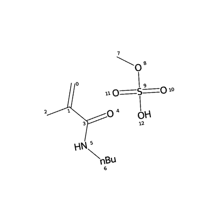 C=C(C)C(=O)NCCCC.COS(=O)(=O)O